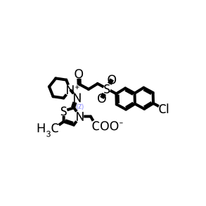 Cc1cn(CC(=O)[O-])/c(=N/[N+]2(C(=O)CCS(=O)(=O)c3ccc4cc(Cl)ccc4c3)CCCCC2)s1